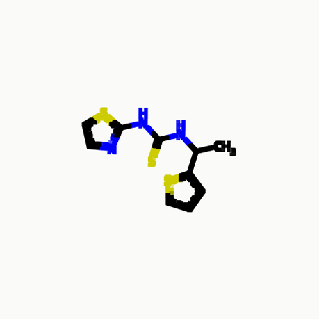 CC(NC(=S)Nc1nccs1)c1cccs1